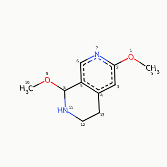 COc1cc2c(cn1)C(OC)NCC2